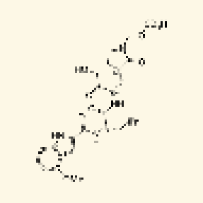 COc1cccc2[nH]c(C(=O)N[C@@H](CC(C)C)C(=O)N[C@@H](C[C@@H]3CCN(COC(=O)O)C3=O)C(=O)CO)cc12